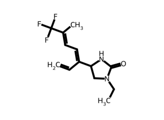 C=C/C(=C\C=C(/C)C(F)(F)F)C1CN(CC)C(=O)N1